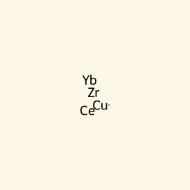 [Ce].[Cu].[Yb].[Zr]